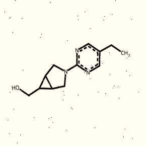 CCc1cnc(N2CC3C(CO)C3C2)nc1